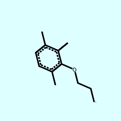 [CH2]CCOc1c(C)ccc(C)c1C